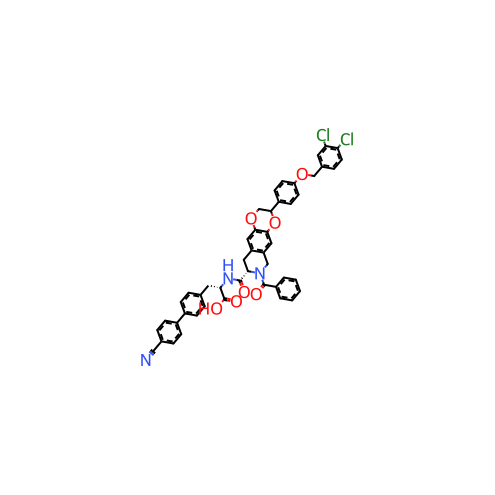 N#Cc1ccc(-c2ccc(C[C@H](NC(=O)[C@@H]3Cc4cc5c(cc4CN3C(=O)c3ccccc3)OC(c3ccc(OCc4ccc(Cl)c(Cl)c4)cc3)CO5)C(=O)O)cc2)cc1